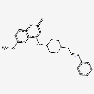 COc1ccc2oc(=O)cc(NC3CCN(C/C=C/c4ccccc4)CC3)c2c1